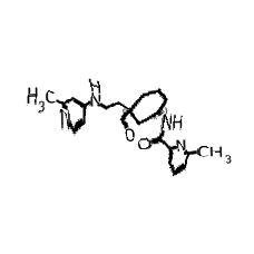 Cc1cc(NCC[C@@]2(C=O)CCC[C@H](NC(=O)c3cccc(C)n3)C2)ccn1